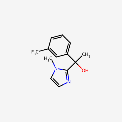 Cn1ccnc1C(C)(O)c1cccc(C(F)(F)F)c1